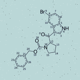 O=C(c1c[nH]c2ccc(Br)cc12)C1CCCN1C(=O)OCc1ccccc1